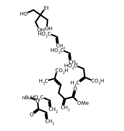 C=C(CC(=O)O)C(=O)O.C=C(CC=C(C)C(=O)O)C(=O)OC.C=CC(=O)O.C=CC(=O)O.C=CC(=O)O.C=CC(=O)OCCCC.CCC(CO)(CO)CO